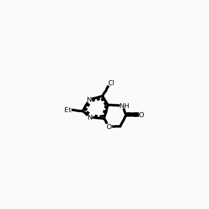 CCc1nc(Cl)c2c(n1)OCC(=O)N2